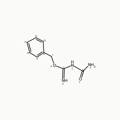 N=C(NC(N)=O)OCc1ccccc1